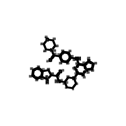 O=C(N[C@@H]1CCCN(c2nc(Nc3ccc(C(=O)N4CCOCC4)cc3)c3nccn3n2)C1)C1Cc2ccccc2N1